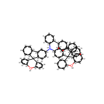 c1ccc(-c2ccc(-c3ccccc3N(c3ccc4c(c3)-c3ccccc3C43c4ccccc4Oc4ccccc43)c3ccc4c(c3)-c3ccccc3C43c4ccccc4Oc4ccccc43)cc2)cc1